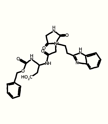 O=C(O)CC(NC(=O)C[N+]1(CCc2nc3ccccc3[nH]2)C(=O)CNC1=O)NC(=O)OCc1ccccc1